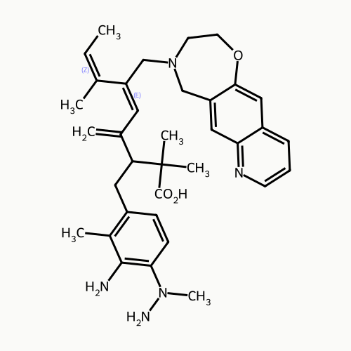 C=C(/C=C(CN1CCOc2cc3cccnc3cc2C1)\C(C)=C/C)C(Cc1ccc(N(C)N)c(N)c1C)C(C)(C)C(=O)O